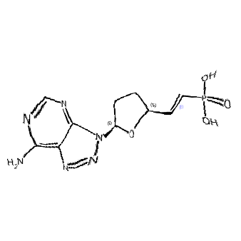 Nc1ncnc2c1nnn2[C@H]1CC[C@@H](/C=C/P(=O)(O)O)O1